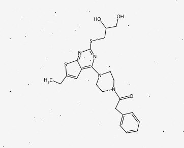 CCc1cc2c(N3CCN(C(=O)Cc4ccccc4)CC3)nc(SCC(O)CO)nc2s1